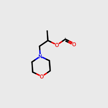 CC(CN1CCOCC1)O[C]=O